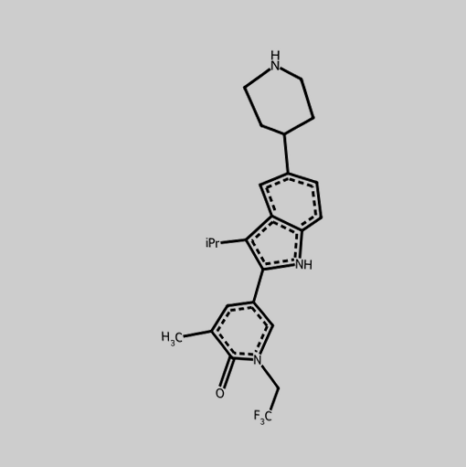 Cc1cc(-c2[nH]c3ccc(C4CCNCC4)cc3c2C(C)C)cn(CC(F)(F)F)c1=O